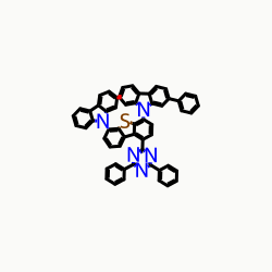 c1ccc(-c2ccc3c4ccccc4n(-c4ccc(-c5nc(-c6ccccc6)nc(-c6ccccc6)n5)c5c4sc4c(-n6c7ccccc7c7ccccc76)cccc45)c3c2)cc1